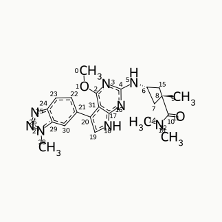 COc1nc(N[C@H]2C[C@@](C)(C(=O)N(C)C)C2)nc2[nH]cc(-c3ccc4nnn(C)c4c3)c12